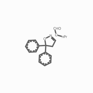 C1=NOC(c2ccccc2)(c2ccccc2)C1.CCCOC=O